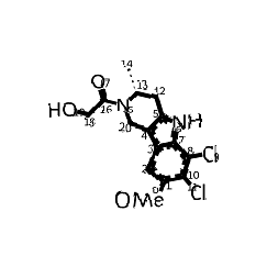 COc1cc2c3c([nH]c2c(Cl)c1Cl)C[C@@H](C)N(C(=O)CO)C3